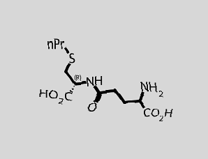 CCCSC[C@H](NC(=O)CCC(N)C(=O)O)C(=O)O